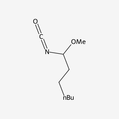 CCCCCCC(N=C=O)OC